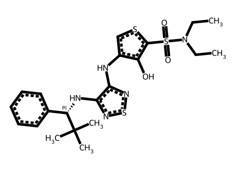 CCN(CC)S(=O)(=O)c1scc(Nc2nsnc2N[C@@H](c2ccccc2)C(C)(C)C)c1O